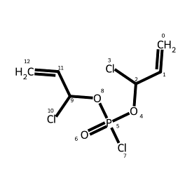 C=CC(Cl)OP(=O)(Cl)OC(Cl)C=C